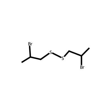 CC(Br)CSSCC(C)Br